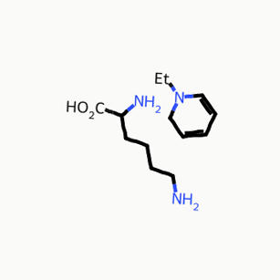 CCN1C=CC=CC1.NCCCCC(N)C(=O)O